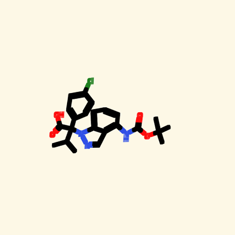 CC(C)C(C(=O)O)(c1ccc(Cl)cc1)n1ncc2c(NC(=O)OC(C)(C)C)cccc21